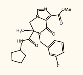 COC(=O)c1ncn2c1C(=O)N(Cc1cccc(Cl)c1)C(C)(C(=O)NC1CCCC1)C2